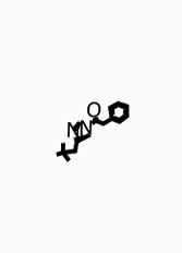 CC(C)(C)Cc1cn(C(=O)Cc2ccccc2)cn1